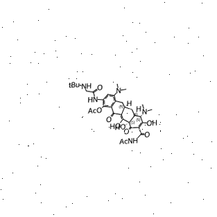 CC(=O)NC(=O)C1=C(O)[C@@H](N(C)C)[C@@H]2C[C@@H]3Cc4c(N(C)C)cc(NC(=O)CNC(C)(C)C)c(OC(C)=O)c4C(=O)C3=C(O)[C@]2(O)C1=O